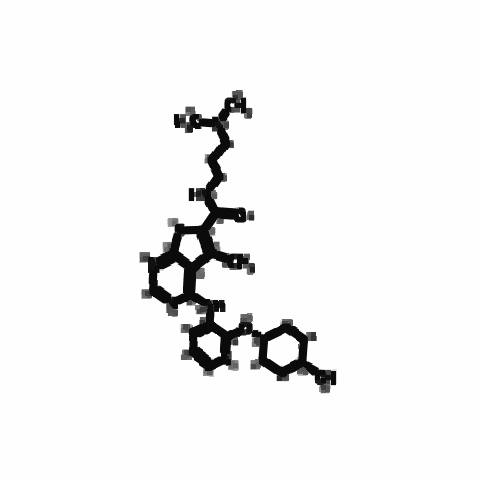 Cc1c(C(=O)NCCCN(C)C)sc2ncnc(Nc3cccnc3O[C@H]3CC[C@H](O)CC3)c12